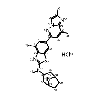 Cc1cn2nc(-c3cc(F)c4nc(N(C)C5CC6CCC(C5)N6)sc4c3)cc(C)c2n1.Cl